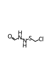 O=CNNSCCl